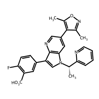 Cc1noc(C)c1-c1cnc2c(-c3ccc(F)c(C(=O)O)c3)cn([C@@H](C)c3ccccn3)c2c1